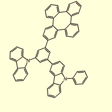 c1ccc(-n2c3ccccc3c3cc(-c4cc(-c5ccc6c(c5)-c5ccccc5-c5ccccc5-c5ccccc5-6)cc(-n5c6ccccc6c6ccccc65)c4)ccc32)cc1